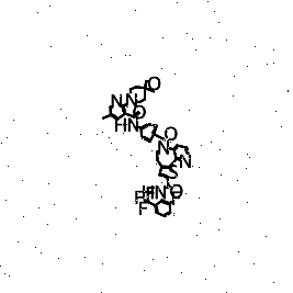 Cc1cnc(N2CCC3(CC2)COC3)c(C(=O)Nc2ccc(C(=O)N3CCc4cc(C(=O)Nc5c(F)cccc5C(F)(F)F)sc4-c4ncccc43)cc2)c1